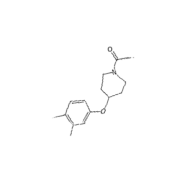 [CH2]C(=O)N1CCC(Oc2ccc(C)c(C)c2)CC1